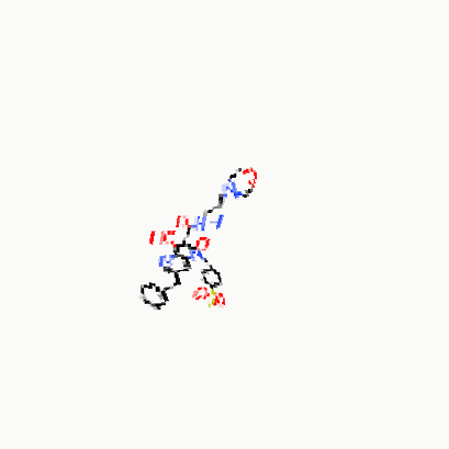 CS(=O)(=O)c1ccc(Cn2c(=O)c(C(=O)NCCCN3CCOCC3)c(O)c3ncc(Cc4ccccc4)cc32)cc1